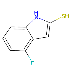 Fc1cccc2[nH]c(S)cc12